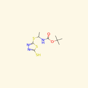 CC(NC(=O)OC(C)(C)C)Sc1nnc(S)s1